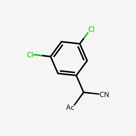 CC(=O)C(C#N)c1cc(Cl)cc(Cl)c1